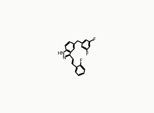 Fc1cc(F)cc(Cc2ccc3[nH]nc(C=Cc4ccccc4F)c3c2)c1